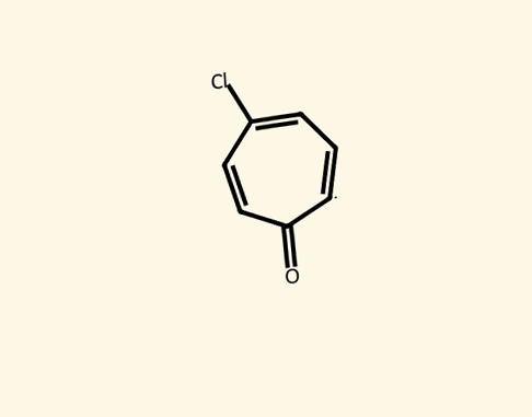 O=c1[c]ccc(Cl)cc1